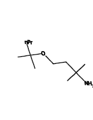 CCCC(C)(C)OCCC(C)(C)N